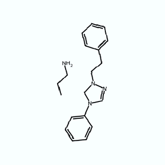 C1=NN(CCc2ccccc2)CN1c1ccccc1.CCCN